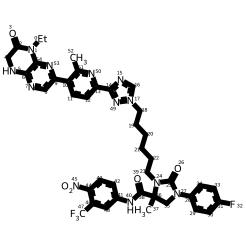 CCN1C(=O)CNc2ncc(-c3ccc(-c4ncn(CCCCCCN5C(=O)N(c6ccc(F)cc6)CC5(C)C(=O)Nc5ccc([N+](=O)[O-])c(C(F)(F)F)c5)n4)nc3C)nc21